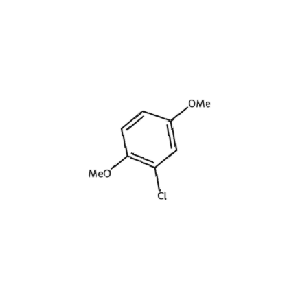 [CH2]Oc1ccc(OC)cc1Cl